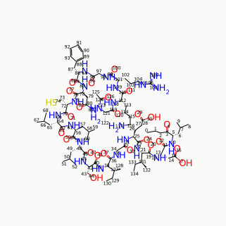 CCCC(=O)[C@H](CC(C)C)NC(=O)[C@H](CC(=O)O)NC(=O)[C@@H](NC(=O)[C@H](CCC(=O)O)NC(=O)CNC(=O)[C@@H](NC(=O)[C@H](CO)NC(=O)[C@H](CC(C)C)NC(=O)[C@H](CC(C)C)NC(=O)[C@H](CC(C)C)NC(=O)[C@H](CS)NC(=O)[C@H](CC(N)=O)NC(=O)[C@H](Cc1ccccc1)NC(=O)CNC(=O)[C@H](CCCNC(=N)N)NC(=O)[C@H](CCCCN)NC(=O)[C@H](C)NC(C)=O)[C@@H](C)CC)[C@@H](C)CC